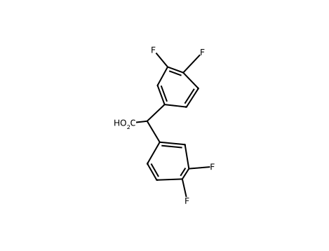 O=C(O)C(c1ccc(F)c(F)c1)c1ccc(F)c(F)c1